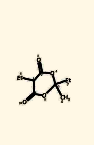 CCC1C(=O)OC(C)(CC)OC1=O